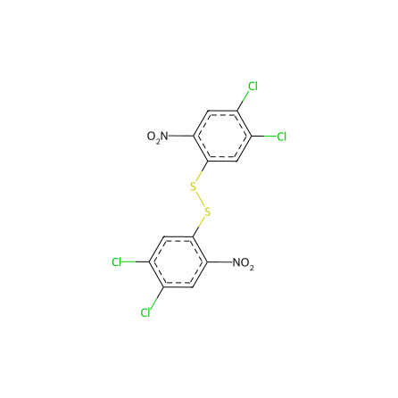 O=[N+]([O-])c1cc(Cl)c(Cl)cc1SSc1cc(Cl)c(Cl)cc1[N+](=O)[O-]